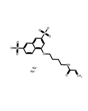 C=CC(=O)NCCCCOc1cc(S(=O)(=O)[O-])cc2cc(S(=O)(=O)[O-])ccc12.[Na+].[Na+]